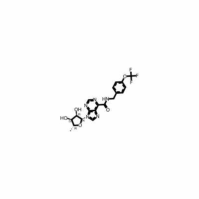 C[C@H]1O[C@@H](n2cnc3c(C(=O)NCc4ccc(OC(F)(F)F)cc4)ncnc32)[C@H](O)[C@@H]1O